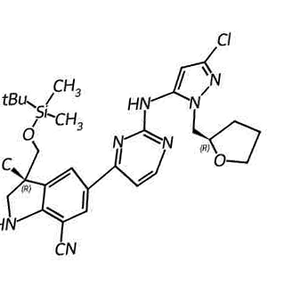 CC(C)(C)[Si](C)(C)OC[C@@]1(C)CNc2c(C#N)cc(-c3ccnc(Nc4cc(Cl)nn4C[C@H]4CCCO4)n3)cc21